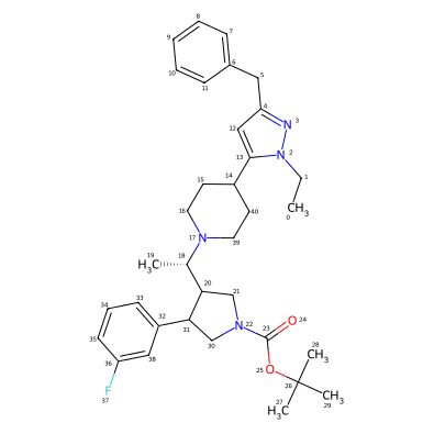 CCn1nc(Cc2ccccc2)cc1C1CCN([C@@H](C)C2CN(C(=O)OC(C)(C)C)CC2c2cccc(F)c2)CC1